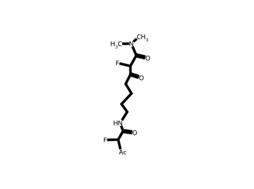 CC(=O)C(F)C(=O)NCCCCC(=O)C(F)C(=O)N(C)C